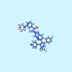 Cn1nc(-c2ccc(F)cc2)c(-c2ccc3nc(NC(=O)c4ccnc(N5CCOCC5)c4)cn3n2)c1-c1ccncc1